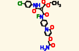 CCOC(=O)C1C(C(=O)Nc2ccc(Cl)cc2)C1C(=O)N(F)c1ccc(-n2ccc(OCC(N)=O)cc2=O)cc1